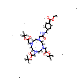 CCOC(=O)C1CCC(CNC(=O)CN2CCN(CC(=O)OC(C)(C)C)CCN(CC(=O)OC(C)(C)C)CCN(CC(=O)OC(C)(C)C)CC2)CC1